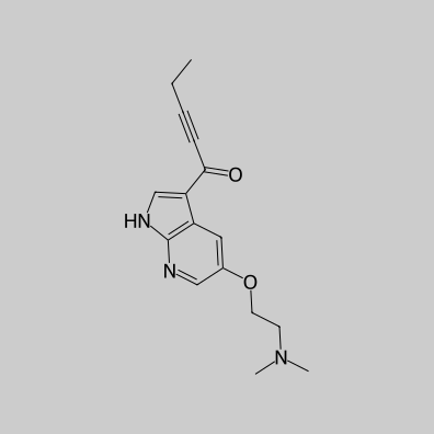 CCC#CC(=O)c1c[nH]c2ncc(OCCN(C)C)cc12